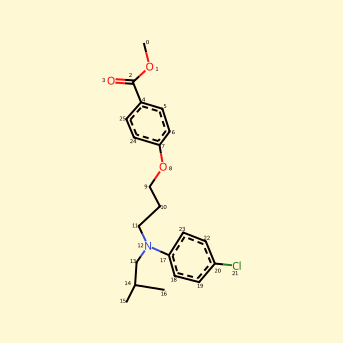 COC(=O)c1ccc(OCCCN(CC(C)C)c2ccc(Cl)cc2)cc1